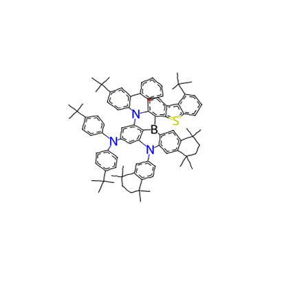 CC(C)(C)c1ccc(N(c2ccc(C(C)(C)C)cc2)c2cc3c4c(c2)N(c2ccc(C(C)(C)C)cc2-c2ccccc2)c2ccc5c(sc6cccc(C(C)(C)C)c65)c2B4c2cc4c(cc2N3c2ccc3c(c2)C(C)(C)CCC3(C)C)C(C)(C)CCC4(C)C)cc1